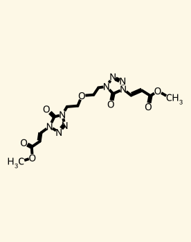 COC(=O)/C=C/n1nnn(CCOCCn2nnn(/C=C/C(=O)OC)c2=O)c1=O